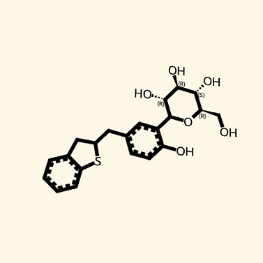 OC[C@H]1OC(c2cc(CC3Cc4ccccc4S3)ccc2O)[C@H](O)[C@@H](O)[C@@H]1O